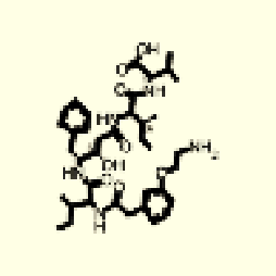 CCC(C)C(NC(=O)Cc1cccc(OCCN)c1)C(=O)N[C@@H](Cc1ccccc1)[C@@H](O)CC(=O)NC(C(=O)N[C@H](C(=O)O)C(C)C)[C@@H](C)CC